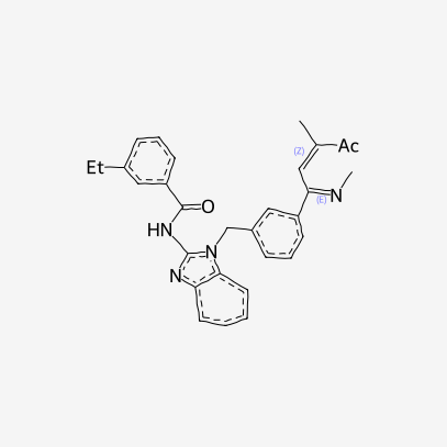 CCc1cccc(C(=O)Nc2nc3ccccc3n2Cc2cccc(C(/C=C(/C)C(C)=O)=N/C)c2)c1